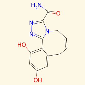 NC(=O)c1nnc2n1C/C=C\Cc1cc(O)cc(O)c1-2